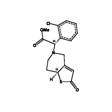 COC(=O)[C@H](c1ccccc1Cl)N1CC[C@@H]2SC(=O)C=C2C1